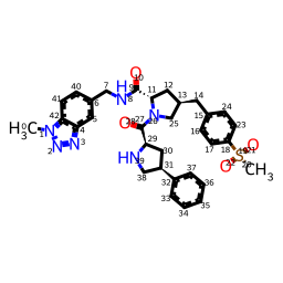 Cn1nnc2cc(CNC(=O)[C@@H]3C[C@@H](Cc4ccc(S(C)(=O)=O)cc4)CN3C(=O)[C@H]3C[C@@H](c4ccccc4)CN3)ccc21